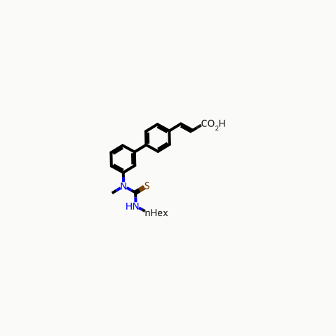 CCCCCCNC(=S)N(C)c1cccc(-c2ccc(C=CC(=O)O)cc2)c1